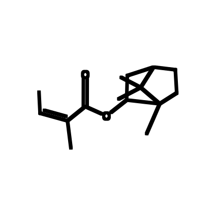 C/C=C(/C)C(=O)OC1CC2CCC1(C)C2(C)C